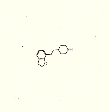 c1cc2c(c(CCC3CCNCC3)c1)OCC2